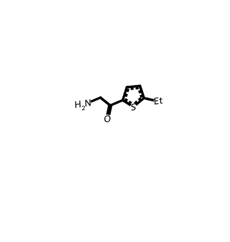 CCc1ccc(C(=O)CN)s1